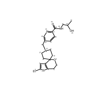 CCc1cc2c(s1)CCOC21CCN(Cc2ccc(C(=O)NCC(C)O)nc2)CC1